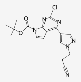 CC(C)(C)OC(=O)n1ccc2c(-c3cnn(CCC#N)c3)nc(Cl)nc21